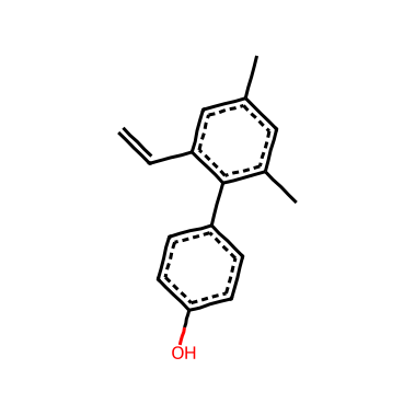 C=Cc1cc(C)cc(C)c1-c1ccc(O)cc1